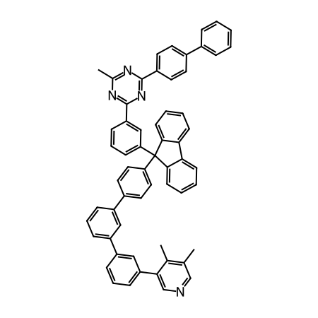 Cc1nc(-c2ccc(-c3ccccc3)cc2)nc(-c2cccc(C3(c4ccc(-c5cccc(-c6cccc(-c7cncc(C)c7C)c6)c5)cc4)c4ccccc4-c4ccccc43)c2)n1